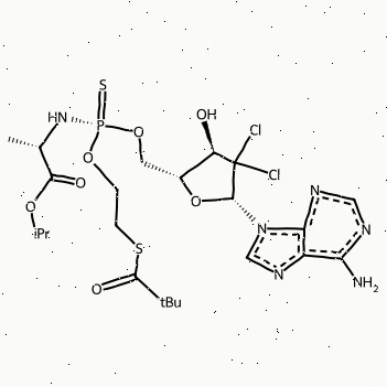 CC(C)OC(=O)[C@H](C)N[P@@](=S)(OCCSC(=O)C(C)(C)C)OC[C@H]1O[C@@H](n2cnc3c(N)ncnc32)C(Cl)(Cl)[C@@H]1O